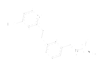 Cc1ccnc(CCc2cccc(/C=N/[S@@+]([O-])C(C)(C)C)c2)c1